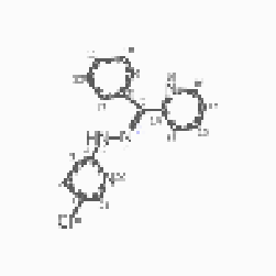 Clc1ccc(N/N=C(\c2ccccc2)c2ccccn2)nc1